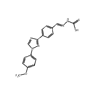 FC(F)(F)Oc1ccc(-n2cnc(-c3ccc(C=NNC(=S)S)cc3)n2)cc1